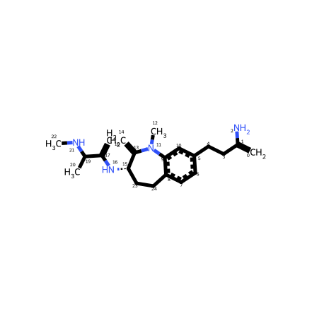 C=C(N)CCc1ccc2c(c1)N(C)C(=C)[C@@H](NC(=C)C(C)NC)CC2